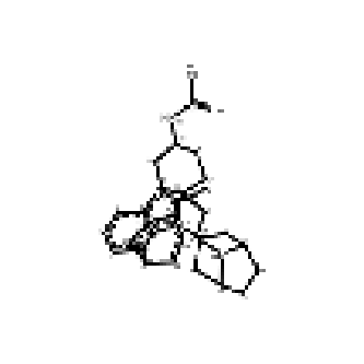 Cc1nc2ccccc2n1C1CC2CCC(C1)N2CCC1(c2ccccc2)CCC(NC(=O)O)CC1